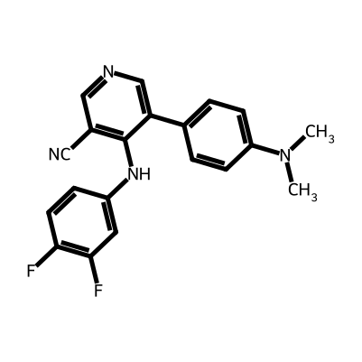 CN(C)c1ccc(-c2cncc(C#N)c2Nc2ccc(F)c(F)c2)cc1